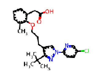 Cc1cccc(CC(=O)O)c1OCCCc1cn(-c2ccc(Cl)cn2)nc1C(C)(C)C